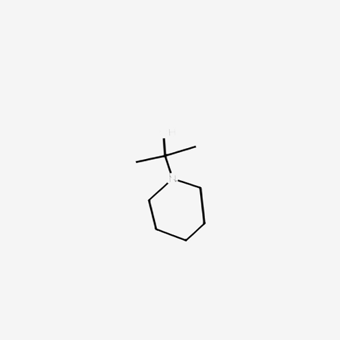 CC(C)(O)N1CCCCC1